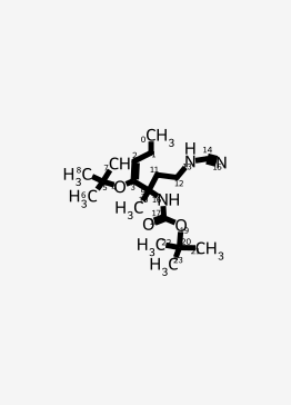 CC/C=C(/OC(C)(C)C)C(C)(CCNC#N)NC(=O)OC(C)(C)C